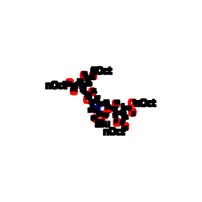 CCCCCCCCOC(=O)CC(CC(=O)OCCCCCCCC)CC(=O)OC[C@@H]1C[C@@H](OC(=O)CC(CC(=O)OCCCCCCCC)CC(=O)OCCCCCCCC)CN1C(=O)OC(C)(C)C